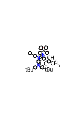 Cc1cc(C)c(-c2cc3c4c(c2)N2c5ccccc5C(c5ccccc5)(c5ccccc5)c5cccc(c52)B4N(c2ccc(-c4ccccc4)cc2)c2ccc(N(c4ccc(C(C)(C)C)cc4)c4ccc(C(C)(C)C)cc4)cc2-3)c(C)c1